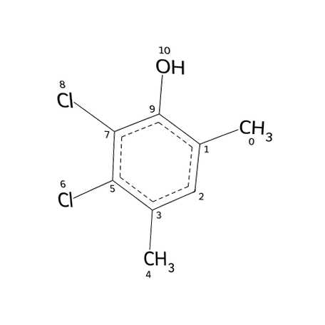 Cc1cc(C)c(Cl)c(Cl)c1O